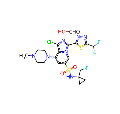 CN1CCN(c2cc(S(=O)(=O)NC3(CF)CC3)cn3c(-c4nnc(C(F)F)s4)nc(Cl)c23)CC1.O=CO